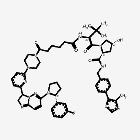 Cc1ncsc1-c1ccc(CNC(=O)[C@@H]2C[C@@H](O)CN2C(=O)[C@@H](NC(=O)CCCCC(=O)N2CCN(c3cccc(C4CN=C5C=CC(N6CCC[C@@H]6c6cccc(F)c6)=NN54)n3)CC2)C(C)(C)C)cc1